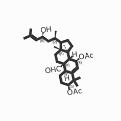 CC(=O)O[C@H]1C=C2[C@@H](CC[C@H](OC(C)=O)C2(C)C)[C@]2(C=O)CC[C@]3(C)C([C@H](C)C[C@@H](O)C=C(C)C)CC[C@@]3(C)[C@H]12